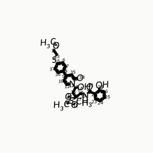 COCCSc1ccc(-c2ccn(C(O)CC(C)(CNC(=O)c3ccccc3O)S(C)(=O)=O)c(=O)c2)cc1